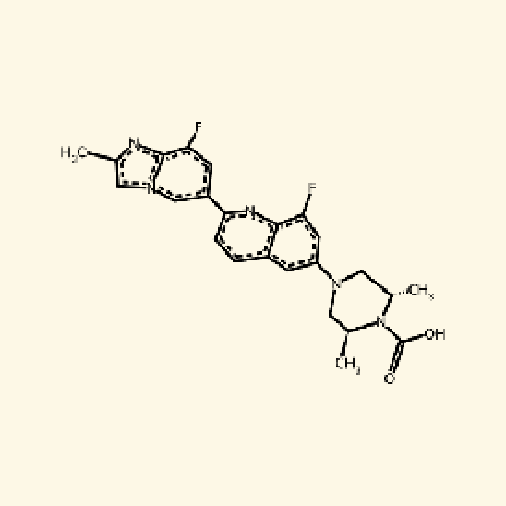 Cc1cn2cc(-c3ccc4cc(N5C[C@H](C)N(C(=O)O)[C@@H](C)C5)cc(F)c4n3)cc(F)c2n1